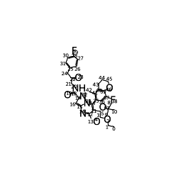 CCOC(=O)[C@@H](OC(C)(C)C)c1c(C)nc2cc(C(=O)NCC(=O)Cc3ccc(F)cc3)nn2c1-c1cc(F)c2c(c1C)CCCO2